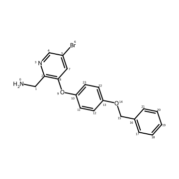 NCc1ncc(Br)cc1Oc1ccc(OCc2ccccc2)cc1